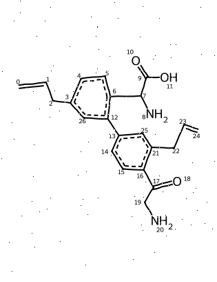 C=CCc1ccc(C(N)C(=O)O)c(-c2ccc(C(=O)CN)c(CC=C)c2)c1